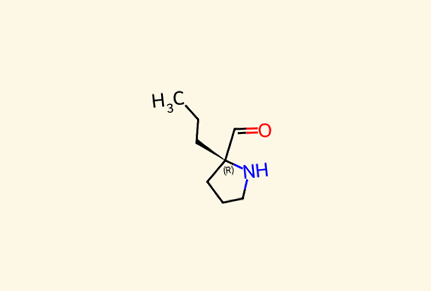 CCC[C@]1(C=O)CCCN1